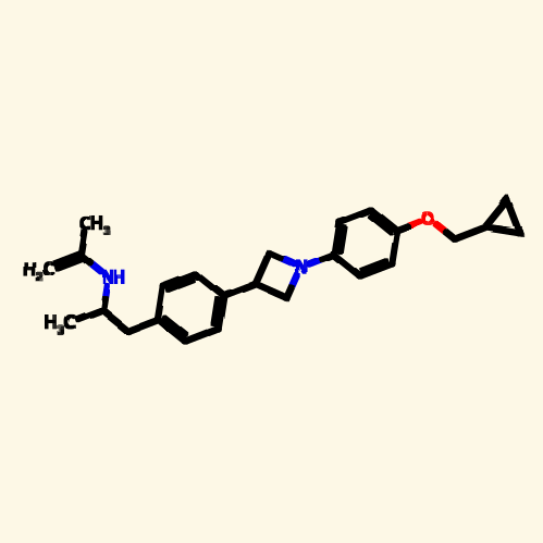 C=C(C)NC(C)Cc1ccc(C2CN(c3ccc(OCC4CC4)cc3)C2)cc1